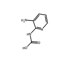 Nc1cccnc1NC(=O)O